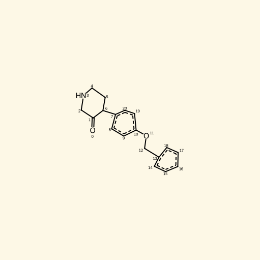 O=C1CNCCC1c1ccc(OCc2ccccc2)cc1